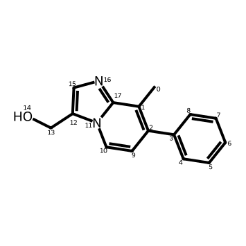 Cc1c(-c2ccccc2)ccn2c(CO)cnc12